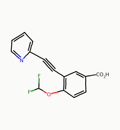 O=C(O)c1ccc(OC(F)F)c(C#Cc2ccccn2)c1